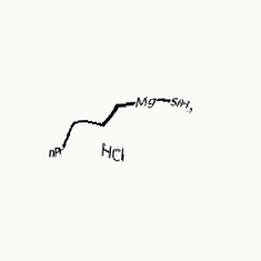 CCCCC[CH2][Mg][SiH3].Cl